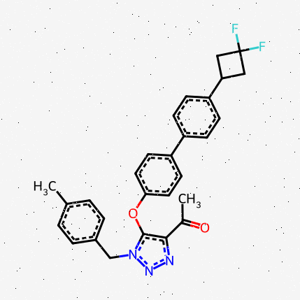 CC(=O)c1nnn(Cc2ccc(C)cc2)c1Oc1ccc(-c2ccc(C3CC(F)(F)C3)cc2)cc1